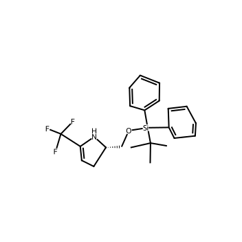 CC(C)(C)[Si](OC[C@@H]1CC=C(C(F)(F)F)N1)(c1ccccc1)c1ccccc1